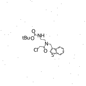 CC(C)(C)OC(=O)NCCN(Cc1csc2ccccc12)C(=O)CCl